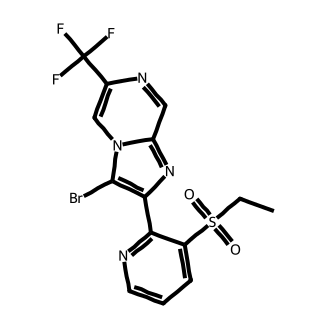 CCS(=O)(=O)c1cccnc1-c1nc2cnc(C(F)(F)F)cn2c1Br